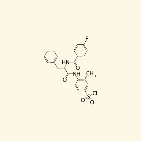 Cc1cc(S(=O)(=O)Cl)ccc1NC(=O)C(Cc1ccccc1)NC(=O)c1ccc(F)cc1